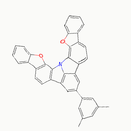 Cc1cc(C)cc(-c2cc3c4ccc5c6ccccc6oc5c4n4c3c(c2)c2ccc3c5ccccc5oc3c24)c1